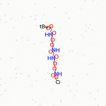 CC(C)(C)OC(=O)CCC(=O)NCCOCCOCCNC(=O)CCC(=O)NCCOCCOCCNC(=O)OCc1ccccc1